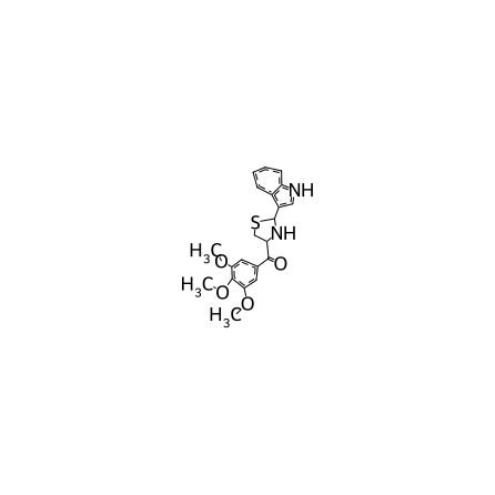 COc1cc(C(=O)C2CSC(c3c[nH]c4ccccc34)N2)cc(OC)c1OC